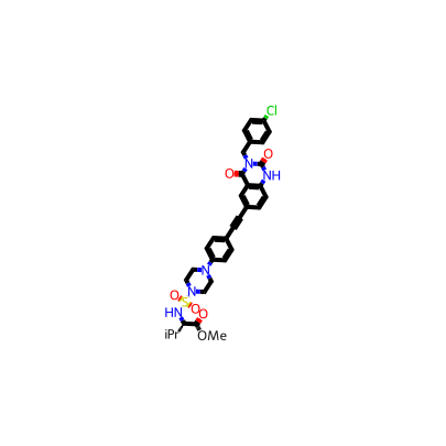 COC(=O)[C@H](NS(=O)(=O)N1CCN(c2ccc(C#Cc3ccc4[nH]c(=O)n(Cc5ccc(Cl)cc5)c(=O)c4c3)cc2)CC1)C(C)C